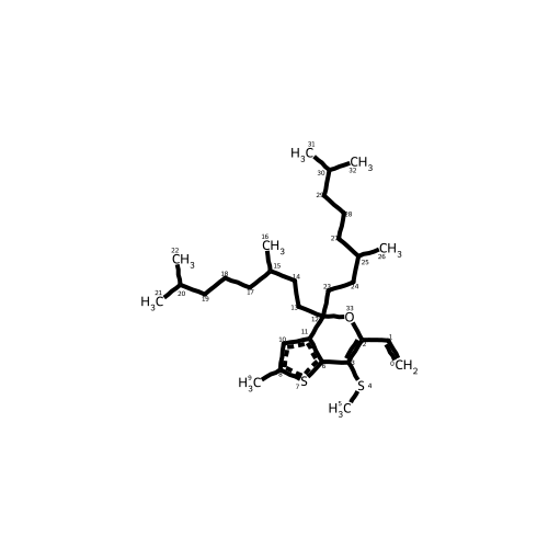 C=CC1=C(SC)c2sc(C)cc2C(CCC(C)CCCC(C)C)(CCC(C)CCCC(C)C)O1